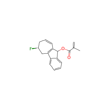 C=C(C)C(=O)OC1C2=C(C[C@@H](F)CC=C2)c2ccccc21